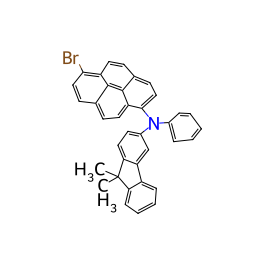 CC1(C)c2ccccc2-c2cc(N(c3ccccc3)c3ccc4ccc5c(Br)ccc6ccc3c4c65)ccc21